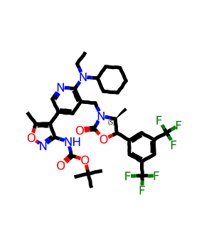 CCN(c1ncc(-c2c(NC(=O)OC(C)(C)C)noc2C)cc1CN1C(=O)OC(c2cc(C(F)(F)F)cc(C(F)(F)F)c2)[C@@H]1C)C1CCCCC1